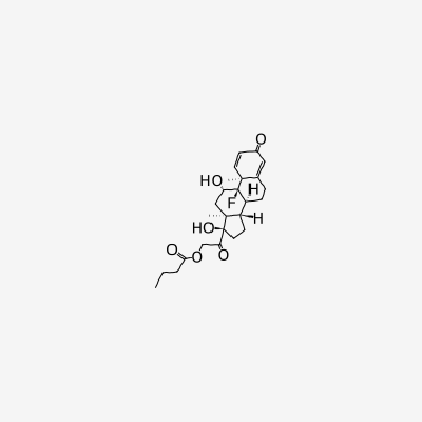 CCCC(=O)OCC(=O)[C@@]1(O)CC[C@H]2[C@@H]3CCC4=CC(=O)C=C[C@]4(C)[C@@]3(F)[C@@H](O)C[C@@]21C